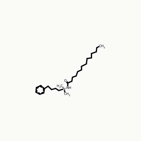 CCCCCCCCCCCCCC(=O)N[N+](C)(C)CCCCc1ccccc1